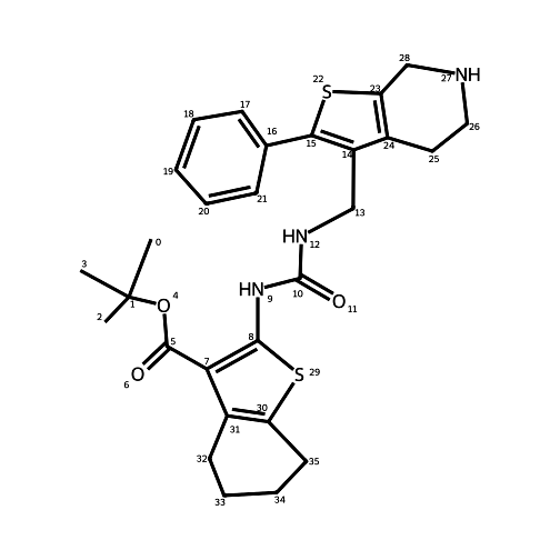 CC(C)(C)OC(=O)c1c(NC(=O)NCc2c(-c3ccccc3)sc3c2CCNC3)sc2c1CCCC2